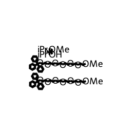 COCCOCCOCCOCCOCCOCCOC(c1ccccc1)(c1ccccc1)c1ccccc1.COCCOCCOCCOCCOCCOCCOC(c1ccccc1)(c1ccccc1)c1ccccc1.COP(O)N(C(C)C)C(C)C